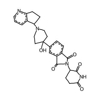 O=C1CCC(N2C(=O)c3ccc(C4(O)CCN(C5CCc6ncccc65)CC4)cc3C2=O)C(=O)N1